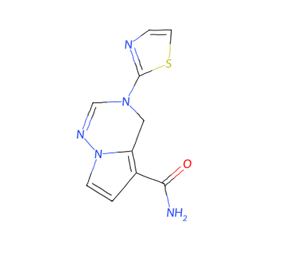 NC(=O)c1ccn2c1CN(c1nccs1)C=N2